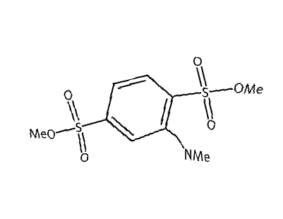 CNc1cc(S(=O)(=O)OC)ccc1S(=O)(=O)OC